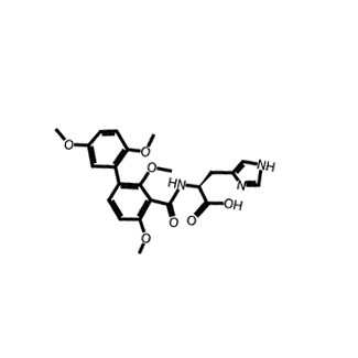 COc1ccc(OC)c(-c2ccc(OC)c(C(=O)N[C@@H](Cc3c[nH]cn3)C(=O)O)c2OC)c1